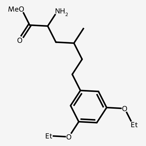 CCOc1cc(CCC(C)CC(N)C(=O)OC)cc(OCC)c1